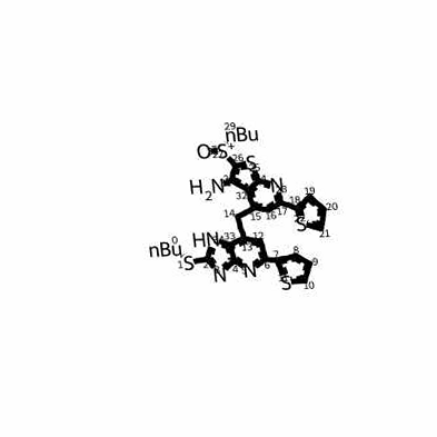 CCCCSc1nc2nc(-c3cccs3)cc(Cc3cc(-c4cccs4)nc4sc([S+]([O-])CCCC)c(N)c34)c2[nH]1